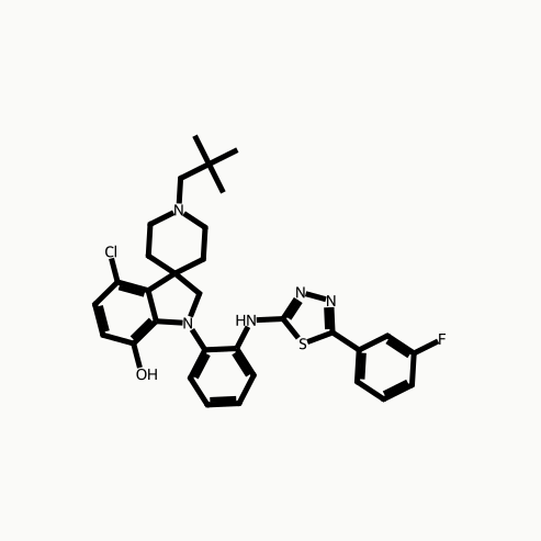 CC(C)(C)CN1CCC2(CC1)CN(c1ccccc1Nc1nnc(-c3cccc(F)c3)s1)c1c(O)ccc(Cl)c12